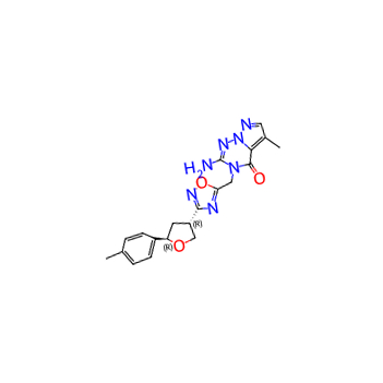 Cc1ccc([C@H]2C[C@H](c3noc(Cn4c(N)nn5ncc(C)c5c4=O)n3)CO2)cc1